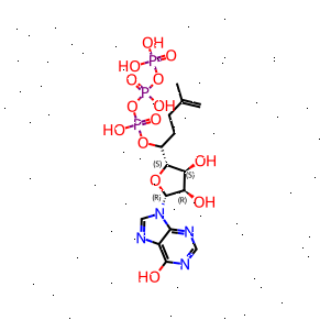 C=C(C)CCC(OP(=O)(O)OP(=O)(O)OP(=O)(O)O)[C@H]1O[C@@H](n2cnc3c(O)ncnc32)[C@H](O)[C@@H]1O